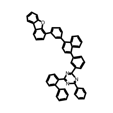 c1ccc(-c2nc(-c3cccc(-c4ccc(-c5cccc(-c6cccc7c6oc6ccccc67)c5)c5ccccc45)c3)nc(-c3ccccc3-c3ccccc3)n2)cc1